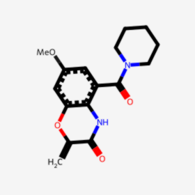 C=C1Oc2cc(OC)cc(C(=O)N3CCCCC3)c2NC1=O